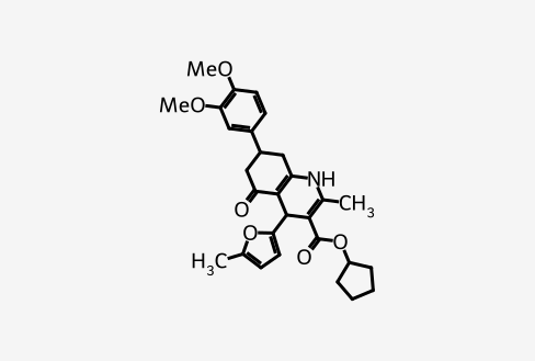 COc1ccc(C2CC(=O)C3=C(C2)NC(C)=C(C(=O)OC2CCCC2)C3c2ccc(C)o2)cc1OC